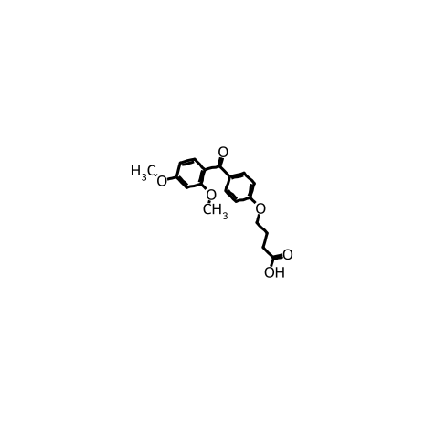 COc1ccc(C(=O)c2ccc(OCCCC(=O)O)cc2)c(OC)c1